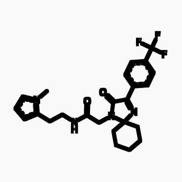 Cn1cccc1CCNC(=O)CN1C(=O)C(c2ccc(C(F)(F)F)cc2)=NC12CCCCC2